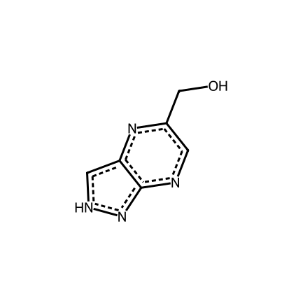 OCc1cnc2n[nH]cc2n1